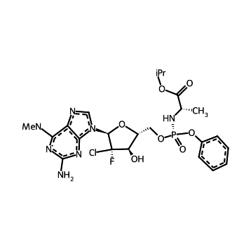 CNc1nc(N)nc2c1ncn2[C@H]1O[C@H](CO[P@@](=O)(N[C@@H](C)C(=O)OC(C)C)Oc2ccccc2)[C@@H](O)[C@@]1(F)Cl